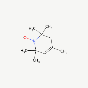 CC1=CC(C)(C)N([O])C(C)(C)C1